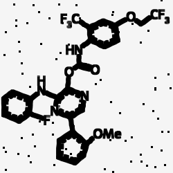 COc1ccccc1-c1cnc(OC(=O)Nc2ccc(OCC(F)(F)F)cc2C(F)(F)F)c(Nc2ccccc2F)n1